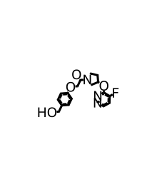 O=C(COc1ccc(CO)cc1)N1CCC(Oc2nnccc2F)C1